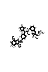 CC(C)(C)OC(=O)C1(Cc2cccc(NC(=O)C(c3ccc(CN4Cc5c(F)cccc5C4=O)cc3)C3CCCC3)c2)CC1